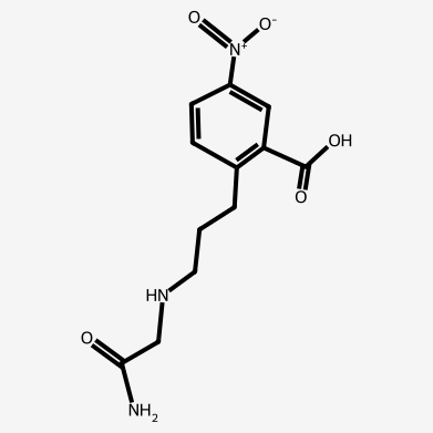 NC(=O)CNCCCc1ccc([N+](=O)[O-])cc1C(=O)O